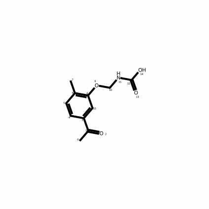 CC(=O)c1ccc(C)c(OCNC(=O)O)c1